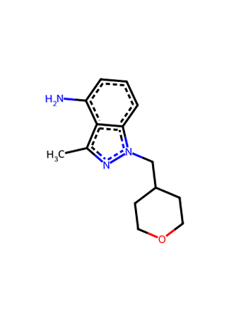 Cc1nn(CC2CCOCC2)c2cccc(N)c12